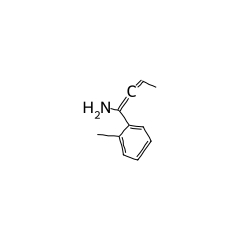 CC=C=C(N)c1ccccc1C